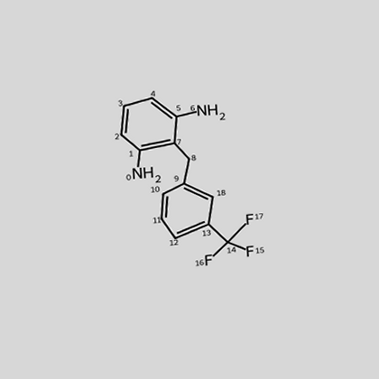 Nc1cccc(N)c1Cc1cccc(C(F)(F)F)c1